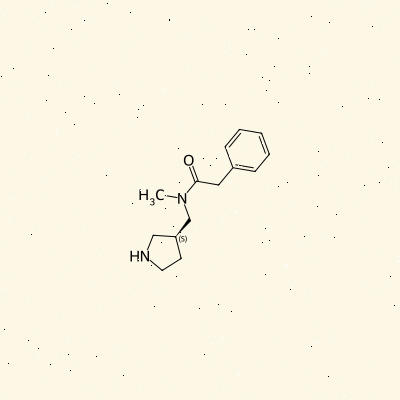 CN(C[C@H]1CCNC1)C(=O)Cc1ccccc1